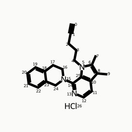 C#CCCCn1c(C)c(C)c2ccnc(N3CCc4ccccc4C3)c21.Cl